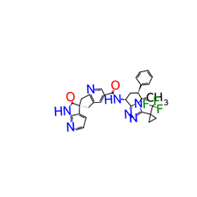 C[C@@H]1[C@H](c2ccccc2)C[C@H](NC(=O)c2cnc3c(c2)C[C@@]2(C3)C(=O)Nc3ncccc32)c2nnc(C3(C(F)(F)F)CC3)n21